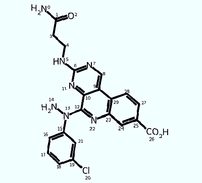 NC(=O)CCNc1ncc2c(n1)c(N(N)c1cccc(Cl)c1)nc1cc(C(=O)O)ccc12